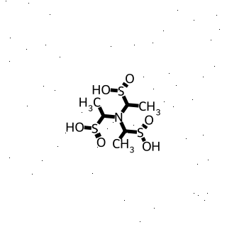 CC(N(C(C)S(=O)O)C(C)S(=O)O)S(=O)O